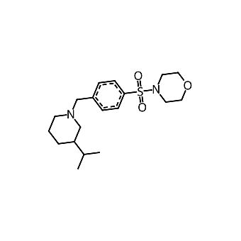 CC(C)C1CCCN(Cc2ccc(S(=O)(=O)N3CCOCC3)cc2)C1